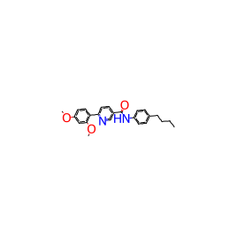 CCCCc1ccc(NC(=O)c2ccc(-c3ccc(OC)cc3OC)nc2)cc1